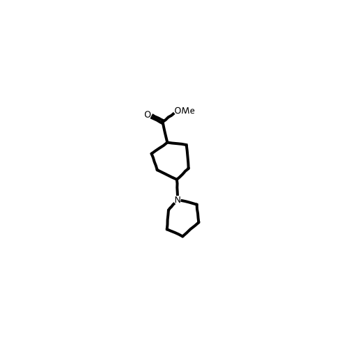 COC(=O)C1CCC(N2CCCCC2)CC1